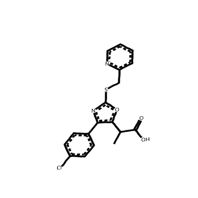 CC(C(=O)O)c1oc(SCc2ccccn2)nc1-c1ccc(Cl)cc1